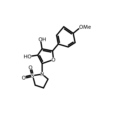 COc1ccc(-c2oc(N3CCCS3(=O)=O)c(O)c2O)cc1